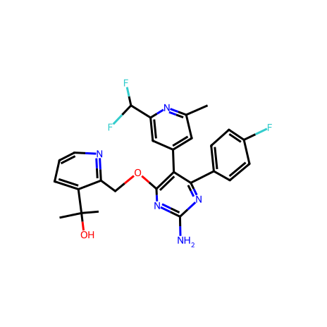 Cc1cc(-c2c(OCc3ncccc3C(C)(C)O)nc(N)nc2-c2ccc(F)cc2)cc(C(F)F)n1